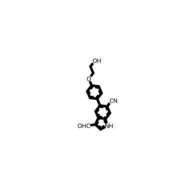 N#Cc1cc2[nH]cc(C=O)c2cc1-c1ccc(OCCO)cc1